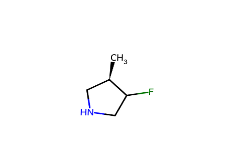 C[C@@H]1CNCC1F